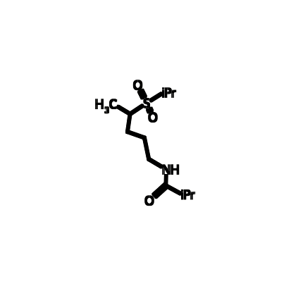 CC(C)C(=O)NCCCC(C)S(=O)(=O)C(C)C